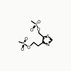 CS(=O)(=O)OCCc1ncsc1COS(C)(=O)=O